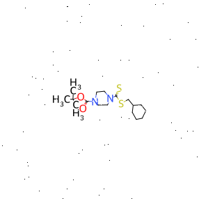 CC(C)(C)OC(=O)N1CCN(C(=S)SCC2CCCCC2)CC1